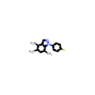 Cc1cc(C)c2c(cnn2-c2ccc(F)cc2)c1[N+](=O)[O-]